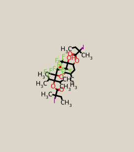 CCC(C)(I)C(=O)OC(CC(C)COC(C(F)(F)F)(C(F)(F)F)C(OC(=O)C(C)(I)CC)(C(C)C)C(C)C)C(O)(C(F)(F)F)C(F)(F)F